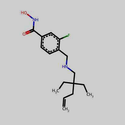 C=CCC(CC)(CC)CNCc1ccc(C(=O)NO)cc1F